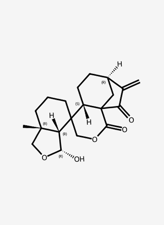 C=C1C(=O)C23C[C@H]1CC[C@H]2C1(CCC[C@@]2(C)CO[C@@H](O)[C@@H]12)COC3=O